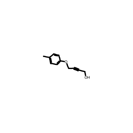 Cc1ccc(OCC#CCO)cc1